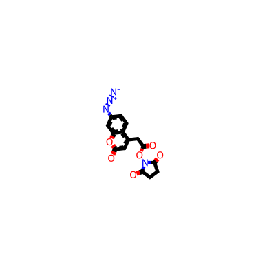 [N-]=[N+]=Nc1ccc2c(CC(=O)ON3C(=O)CCC3=O)cc(=O)oc2c1